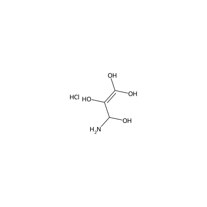 Cl.NC(O)C(O)=C(O)O